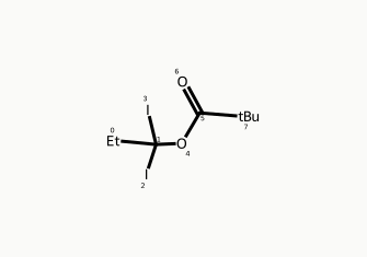 CCC(I)(I)OC(=O)C(C)(C)C